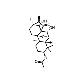 C=C1C(=O)[C@]23C(O)[C@H]1CC[C@@]2(O)[C@]1(C)CC[C@H](OC(C)=O)C(C)(C)[C@H]1C[C@H]3O